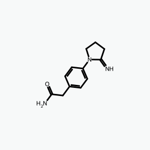 N=C1CCCN1c1ccc(CC(N)=O)cc1